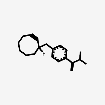 C=C(c1ccc(CC2(F)C#CCCCCC2)cc1)C(C)C